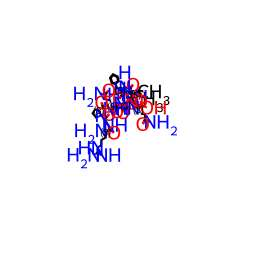 CC[C@H](C)[C@H](NC(=O)[C@H](CO)NC(=O)[C@H](CCC(N)=O)NC(=O)[C@@H]1CCCN1C(=O)CNC(=O)[C@@H](N)CCCNC(=N)N)C(=O)N[C@@H](Cc1ccccc1)C(=O)NCC(=O)N[C@@H](CCC(N)=O)C(=O)O